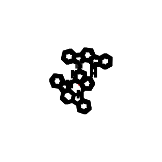 C1=CC2c3ccccc3N(c3ccccc3)C2c2c1c1ccccc1n2-c1cccc(-n2c3ccccc3c3ccc4c5ccccc5[nH]c4c32)n1